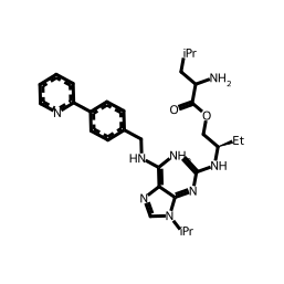 C=C(/N=C1\C(=C(/N)NCc2ccc(-c3ccccn3)cc2)N=CN1C(C)C)N[C@H](CC)COC(=O)C(N)CC(C)C